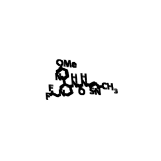 COc1ccc(C2CN(CC(F)F)CCC2NC(=O)Nc2cc(C)ns2)nc1